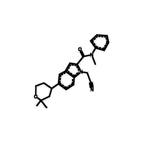 CN(C(=O)c1cc2cc(C3CCOC(C)(C)C3)ccc2n1CC#N)c1ccccc1